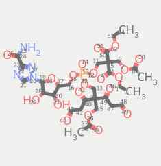 CCOC(=O)C(COC(C)=O)(COP(=O)(OCC1OC(n2cnc(C(N)=O)n2)C(O)C1O)OCC(COC(C)=O)(C(=O)CC=O)C(=O)CC=O)C(=O)OCC